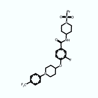 CC(C)S(=O)(=O)N1CCC(NC(=O)c2ccc(OC3CCN(c4ccc(C(F)(F)F)cc4)CC3)c(F)c2)CC1